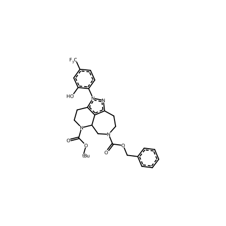 CC(C)(C)OC(=O)N1CCc2c3c(nn2-c2ccc(C(F)(F)F)cc2O)CCN(C(=O)OCc2ccccc2)CC31